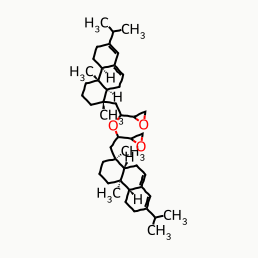 CC(C)C1=CC2=CC[C@H]3[C@](C)(CC(OC(C[C@]4(C)CCC[C@]5(C)[C@H]6CCC(C(C)C)=CC6=CC[C@@H]45)C4CO4)C4CO4)CCC[C@]3(C)[C@H]2CC1